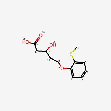 CSc1ccccc1OCCC(O)CC(=O)O